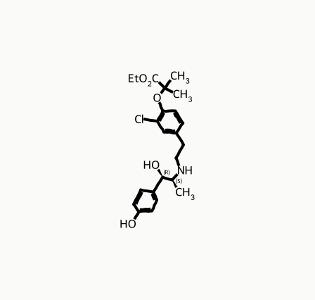 CCOC(=O)C(C)(C)Oc1ccc(CCN[C@@H](C)[C@H](O)c2ccc(O)cc2)cc1Cl